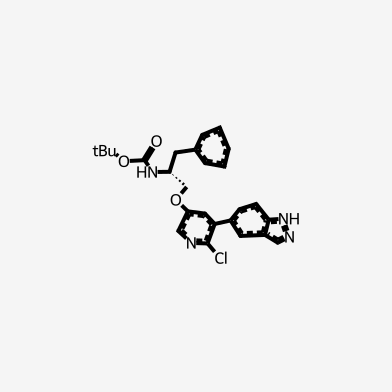 CC(C)(C)OC(=O)N[C@@H](COc1cnc(Cl)c(-c2ccc3[nH]ncc3c2)c1)Cc1ccccc1